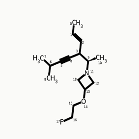 CC=CC(C#CC(C)C)[C@@H](C)N1CC(OCCF)C1